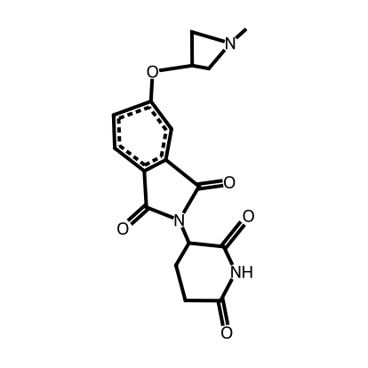 CN1CC(Oc2ccc3c(c2)C(=O)N(C2CCC(=O)NC2=O)C3=O)C1